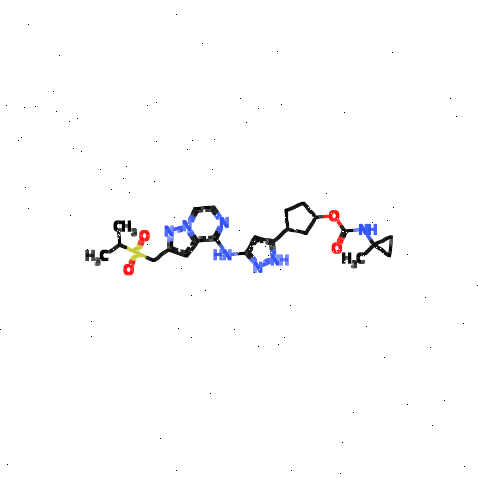 CC(C)S(=O)(=O)Cc1cc2c(Nc3cc(C4CCC(OC(=O)NC5(C)CC5)C4)[nH]n3)nccn2n1